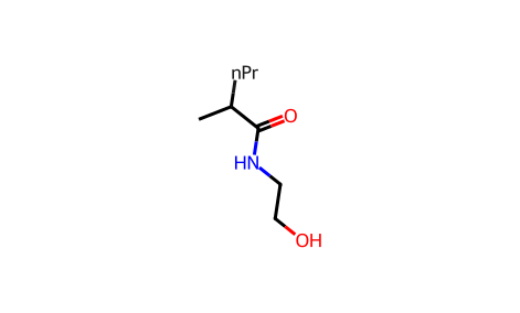 CCCC(C)C(=O)NCCO